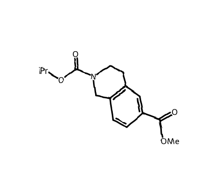 COC(=O)c1ccc2c(c1)CCN(C(=O)OC(C)C)C2